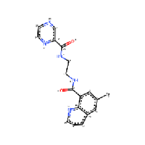 CCc1cc(C(=O)NCCNC(=O)c2cnccn2)c2ncccc2c1